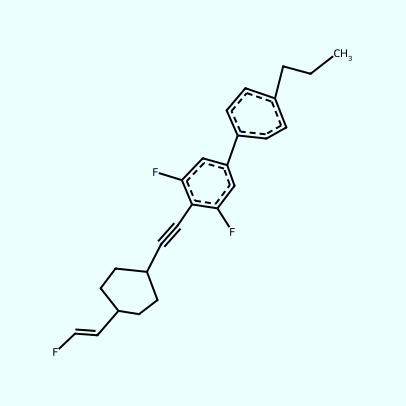 CCCc1ccc(-c2cc(F)c(C#CC3CCC(C=CF)CC3)c(F)c2)cc1